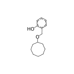 Oc1ccccc1COC1CCCCCCC1